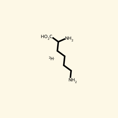 NCCCCC(N)C(=O)O.[2H]